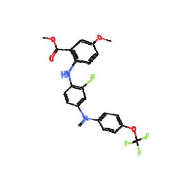 COC(=O)c1cc(OC)ccc1Nc1ccc(N(C)c2ccc(OC(F)(F)F)cc2)cc1F